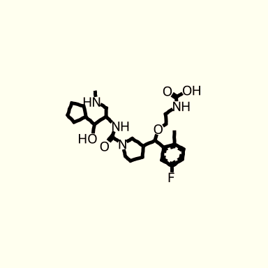 CNCC(NC(=O)N1CCCC(C(OCCNC(=O)O)c2cc(F)ccc2C)C1)C(O)C1CCCC1